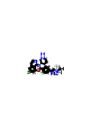 [2H]C([2H])([2H])n1cc(-c2ccc(C(=O)N(c3nccc4cc(F)cc(C)c34)[C@@H]3CCCNC3)c(F)c2)nn1